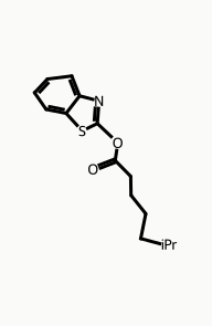 CC(C)CCCCC(=O)Oc1nc2ccccc2s1